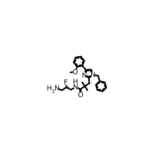 COc1ccccc1-c1cn(Cc2ccccc2)c([CH]C(C)(C)C(=O)NC[C@H](F)CN)n1